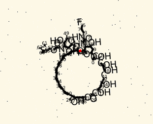 CO[C@]12C[C@@H](O)C[C@@H](O)[C@H](O)CC[C@@H](O)C[C@@H](O)CC(=O)O[C@@H](C)[C@H](C)[C@H](O)[C@@H](C)/C=C/C=C/C=C/C=C/C=C/C=C/C=C/[C@H](O[C@@H]3O[C@H](C)[C@@H](O)[C@H](NC(=O)OCC[Si](C)(C)C)[C@@H]3O)C[C@H](O1)[C@H](NC(=O)NCCCF)[C@@H](O)C2